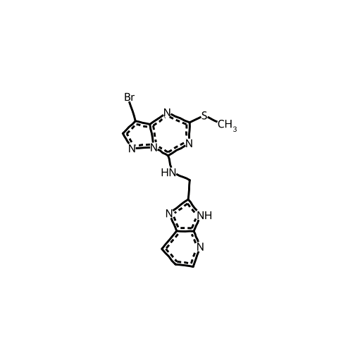 CSc1nc(NCc2nc3cccnc3[nH]2)n2ncc(Br)c2n1